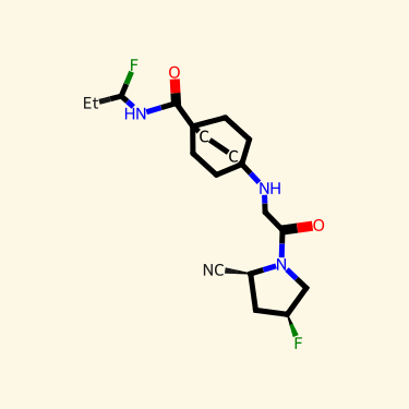 CCC(F)NC(=O)C12CCC(NCC(=O)N3C[C@@H](F)C[C@H]3C#N)(CC1)CC2